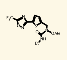 CCNC(=O)N(Cc1ccc(-c2noc(C(F)(F)F)n2)s1)OC